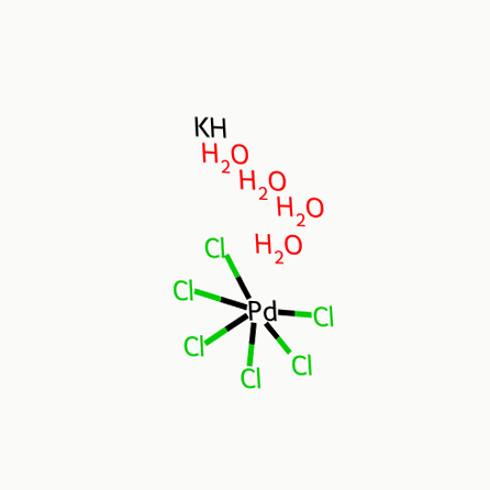 O.O.O.O.[Cl][Pd]([Cl])([Cl])([Cl])([Cl])[Cl].[KH]